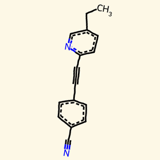 CCc1ccc(C#Cc2ccc(C#N)cc2)nc1